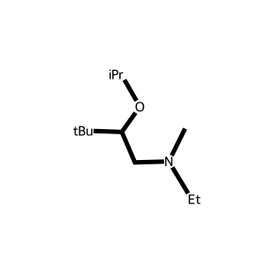 CCN(C)CC(OC(C)C)C(C)(C)C